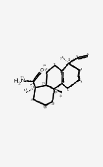 C=C[C@@]1(C)CCCC2=C1CCC1[C@](C)(C(N)=O)CCC[C@@]21C